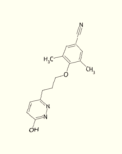 Cc1cc(C#N)cc(C)c1OCCCc1ccc(O)nn1